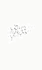 CC(C)C(=O)Nc1nc2c(ncn2[C@@H]2O[C@H](CO)[C@@H](O)[C@@]2(O)C(=O)C(C)C)c(=O)[nH]1